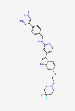 CN/C=C(\C=N)c1ccc(CNc2cc(-c3cnc4cc(OCCN5CCC(F)(F)CC5)ccn34)ncn2)cc1